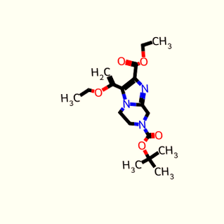 C=C(OCC)c1c(C(=O)OCC)nc2n1CCN(C(=O)OC(C)(C)C)C2